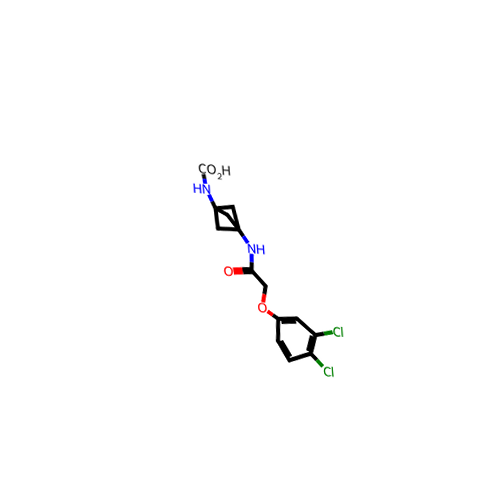 O=C(O)NC12CC(NC(=O)COc3ccc(Cl)c(Cl)c3)(C1)C2